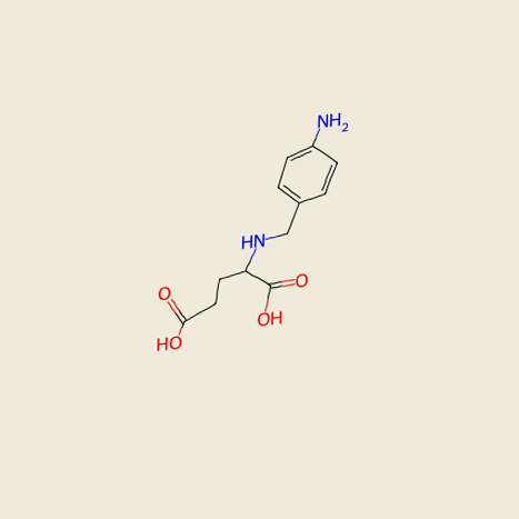 Nc1ccc(CNC(CCC(=O)O)C(=O)O)cc1